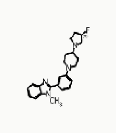 Cn1c(-c2cccc(N3CCC(N4CC[C@@H](F)C4)CC3)c2)nc2ccccc21